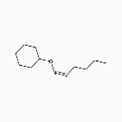 CCCC/[C]=N\OC1CCCCC1